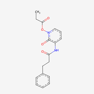 CCC(=O)On1cccc(NC(=O)CCc2ccccc2)c1=O